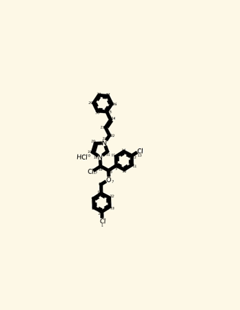 Cl.Clc1ccc(COC(c2ccc(Cl)cc2)C(Cl)N2C=CN(C/C=C/c3ccccc3)C2)cc1